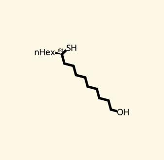 CCCCCC[C@@H](S)CCCCCCCCCO